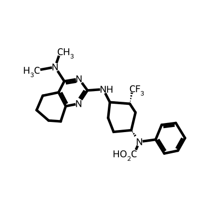 CN(C)c1nc(NC2CC[C@@H](N(C(=O)O)c3ccccc3)C[C@H]2C(F)(F)F)nc2c1CCCC2